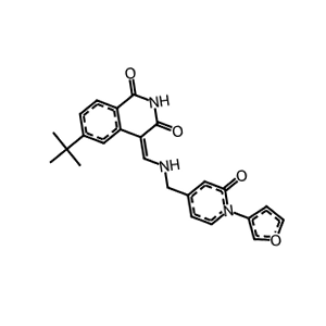 CC(C)(C)c1ccc2c(c1)C(=CNCc1ccn(-c3ccoc3)c(=O)c1)C(=O)NC2=O